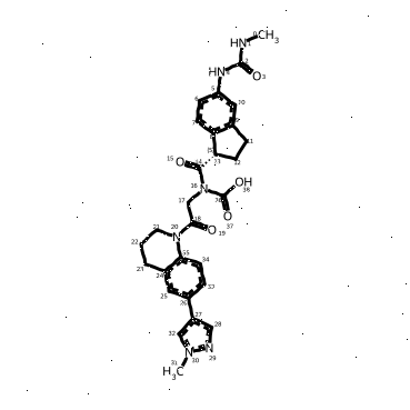 CNC(=O)Nc1ccc2c(c1)CC[C@@H]2C(=O)N(CC(=O)N1CCCc2cc(-c3cnn(C)c3)ccc21)C(=O)O